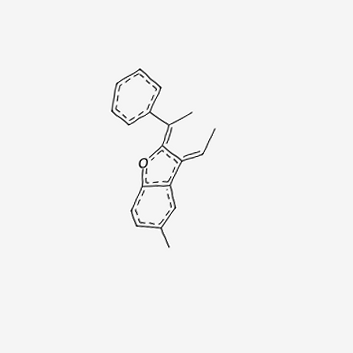 C/C=c1\c(=C(/C)c2ccccc2)oc2ccc(C)cc12